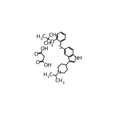 CC(C)N1CCC(c2c[nH]c3ccc(Sc4ccccc4OC(C)(C)C)cc23)CC1.O=C(O)CC(=O)O